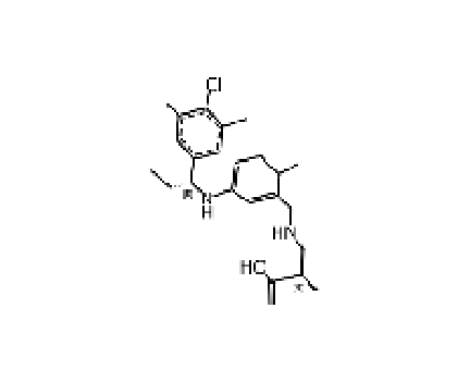 C=C(O)[C@H](C)CNCC1=CC(N[C@H](CC)c2cc(C)c(Cl)c(C)c2)=CCC1C